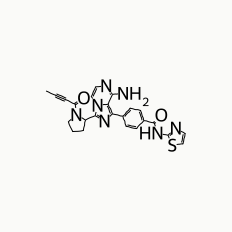 CC#CC(=O)N1CCCC1c1nc(-c2ccc(C(=O)Nc3nccs3)cc2)c2c(N)nccn12